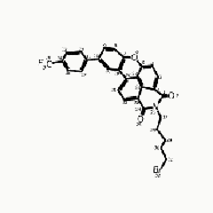 O=c1c2ccc3oc4ccc(-c5ccc(C(F)(F)F)cc5)cc4c4ccc(c(=O)n1CCCCCBr)c2c34